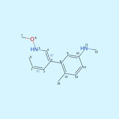 C/C=C\C(=C/NOC)c1cc(NC)ccc1C